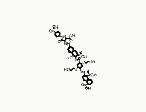 O=C(O)C1=NN(c2ccc(S(=O)O)cc2)C(=O)C1/N=N/c1ccc2c(O)c(/N=N/c3cc(OCCO)c(/N=N/c4ccc5c(S(=O)O)cccc5c4S(=O)O)cc3OCCO)c(S(=O)(=O)O)cc2c1